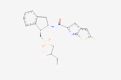 O=C(N[C@@H]1Cc2ccccc2[C@@H]1CS(=O)(=O)CC(O)CO)c1cc2cc(Cl)sc2[nH]1